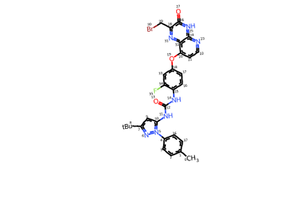 Cc1ccc(-n2nc(C(C)(C)C)cc2NC(=O)Nc2ccc(Oc3ccnc4[nH]c(=O)c(CBr)nc34)cc2F)cc1